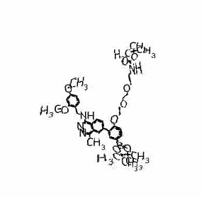 COc1ccc(CNc2nnc(C)c3cc(-c4cc(B5OC(C)(C)C(C)(C)O5)ccc4OCCOCCOCCNC(=O)OC(C)(C)C)ccc23)c(OC)c1